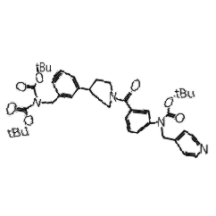 CC(C)(C)OC(=O)N(Cc1cccc(C2CCN(C(=O)c3cccc(N(Cc4ccncc4)C(=O)OC(C)(C)C)c3)CC2)c1)C(=O)OC(C)(C)C